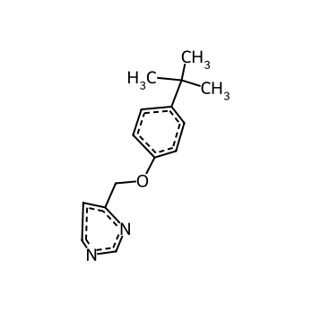 CC(C)(C)c1ccc(OCc2ccncn2)cc1